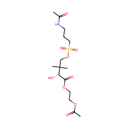 CC(=O)NCCCS(=O)(=O)OCC(C)(C)[C@@H](O)C(=O)OCCOC(C)=O